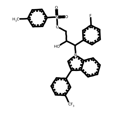 Cc1ccc(S(=O)(=O)OCC(O)C(c2cccc(F)c2)n2cc(-c3cccc(C(F)(F)F)c3)c3ccccc32)cc1